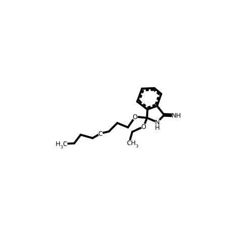 CCCCCCCCOC1(OCC)NC(=N)c2ccccc21